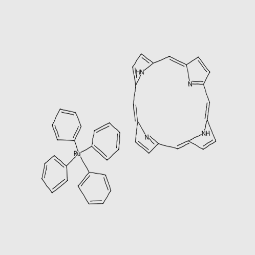 C1=Cc2cc3ccc(cc4nc(cc5ccc(cc1n2)[nH]5)C=C4)[nH]3.c1cc[c]([Ru]([c]2ccccc2)([c]2ccccc2)[c]2ccccc2)cc1